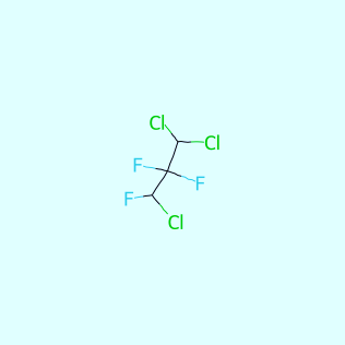 FC(Cl)C(F)(F)C(Cl)Cl